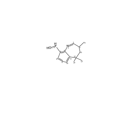 CC1C=Nc2c(PO)cccc2C(C)(C)C1